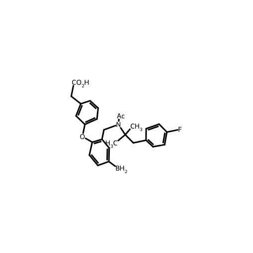 Bc1ccc(Oc2cccc(CC(=O)O)c2)c(CN(C(C)=O)C(C)(C)Cc2ccc(F)cc2)c1